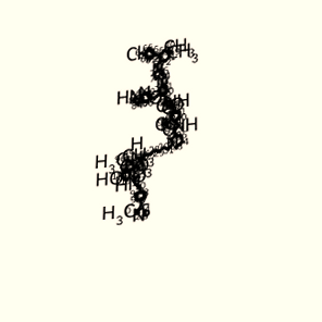 Cc1ncsc1-c1ccc(CNC(=O)[C@@H]2C[C@@H](O)CN2C(=O)[C@@H](NC(=O)CCCCCCN2CCCC(CNc3ccc(S(=O)(=O)NC(=O)c4ccc(N5CCN(CC6=C(c7ccc(Cl)cc7)CC(C)(C)CC6)CC5)cc4Oc4cnc5[nH]ccc5c4)cc3[N+](=O)[O-])C2)C(C)(C)C)cc1